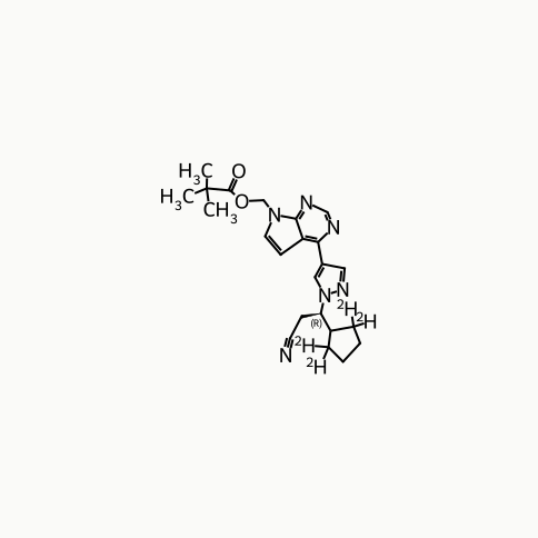 [2H]C1([2H])CCC([2H])([2H])C1[C@@H](CC#N)n1cc(-c2ncnc3c2ccn3COC(=O)C(C)(C)C)cn1